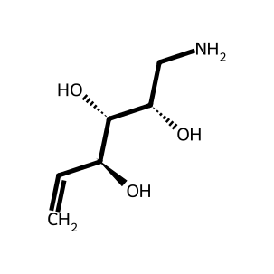 C=C[C@H](O)[C@H](O)[C@@H](O)CN